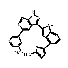 COc1cncc(-c2cc3c(-c4cc5c(-c6ccc(C)s6)cccc5[nH]4)n[nH]c3cn2)c1